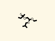 CCOC(COC(C)([S])CC)SCC(C)C